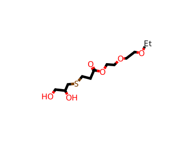 CCOCCOCCOC(=O)CCSCC(O)CO